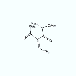 C/C=C(/C(=O)OC)C(=O)C(OC)OC